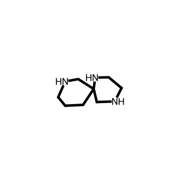 C1CNCC2(C1)CNCCN2